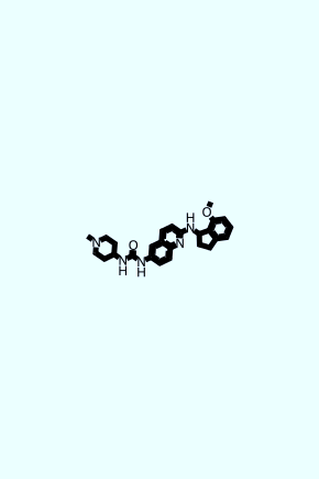 COc1cccc2c1C(Nc1ccc3cc(NC(=O)NC4CCN(C)CC4)ccc3n1)CC2